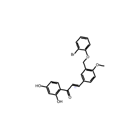 COc1ccc(/C=C/C(=O)c2ccc(O)cc2O)cc1COc1ccccc1Br